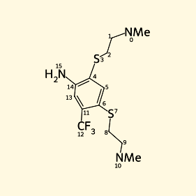 CNCCSc1cc(SCCNC)c(C(F)(F)F)cc1N